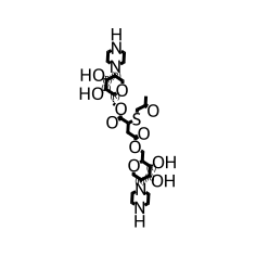 CC(=O)CSC(CC(=O)OCC1OC[C@@H](N2CCNCC2)[C@@H](O)[C@H]1O)C(=O)OC[C@H]1OC[C@@H](N2CCNCC2)[C@@H](O)[C@H]1O